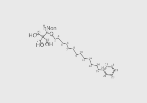 CCCCCCCCCC(OCCCCCCCCCCCCCc1ccccc1)C(CO)(CO)CO